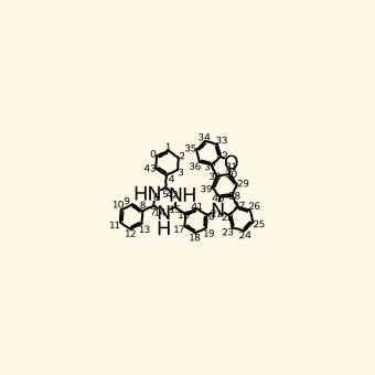 C1=CCCC(C2NC(c3ccccc3)NC(c3cccc(-n4c5ccccc5c5cc6oc7ccccc7c6cc54)c3)N2)=C1